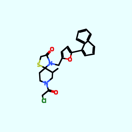 CC1CN(C(=O)CCl)CCC12SCC(=O)N2Cc1ccc(-c2cccc3ccccc23)o1